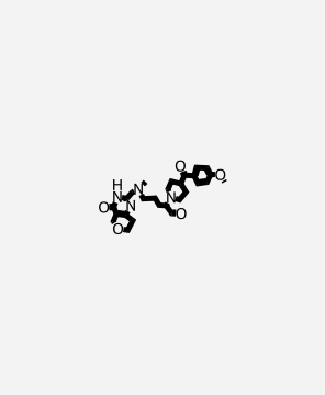 COc1ccc(C(=O)C2CCN(C(C=O)CCCN(C)Cc3nc4c(c(=O)[nH]3)COCC4)CC2)cc1